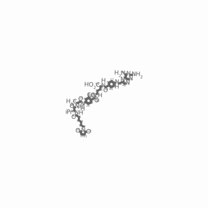 CC(C)[C@H](NC(=O)CCCCCN1C(=O)C=CC1=O)C(=O)N[C@@H](C)C(=O)Nc1ccc(C(=O)NCCC[C@H](NC(=O)c2ccc(NCc3cnc4nc(N)nc(N)c4n3)cc2)C(=O)O)c(C(=O)O)c1